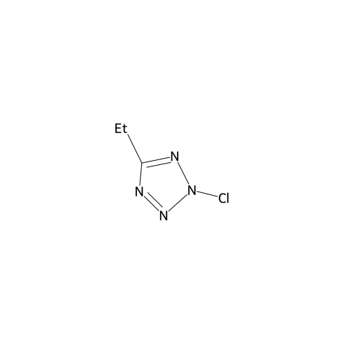 CCc1nnn(Cl)n1